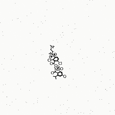 COc1cc(C(C)C)c2c(c1)S(=O)(=O)N(COC(=O)c1c(Cl)ccc(S(=O)(=O)N(C)CCN(C)C)c1Cl)C2=O